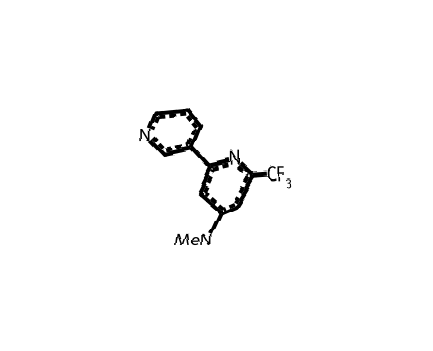 CNc1cc(-c2cccnc2)nc(C(F)(F)F)c1